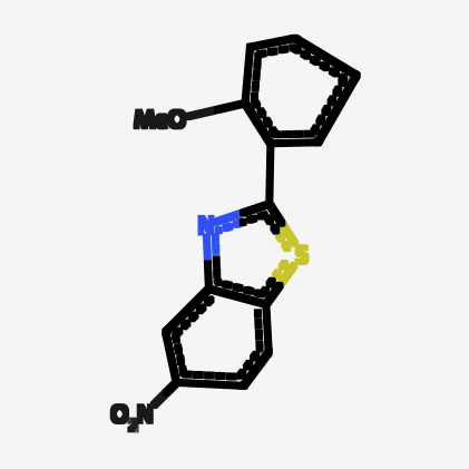 COc1ccccc1-c1nc2cc([N+](=O)[O-])ccc2s1